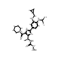 C[C@H](NC(=O)OC(C)(C)C)c1oc(-c2ccc(OC(F)F)c(OCC3CC3)c2)nc1C(=O)N1CCCCC1